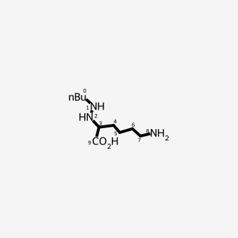 CCCCNNC(CCCCN)C(=O)O